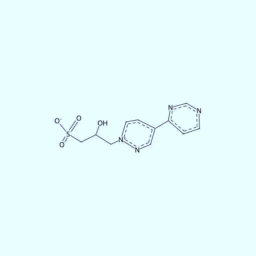 O=S(=O)([O-])CC(O)C[n+]1ccc(-c2ccncn2)cn1